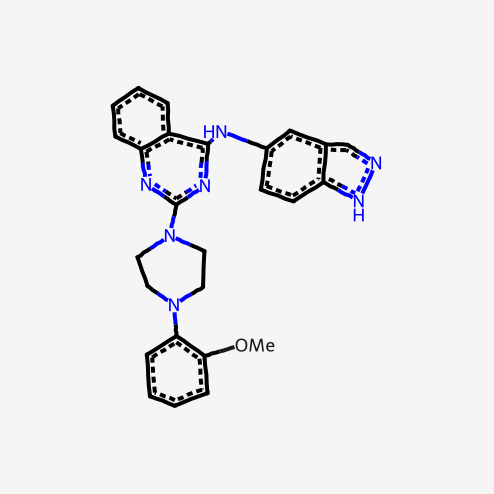 COc1ccccc1N1CCN(c2nc(Nc3ccc4[nH]ncc4c3)c3ccccc3n2)CC1